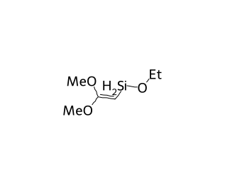 CCO[SiH2]C=C(OC)OC